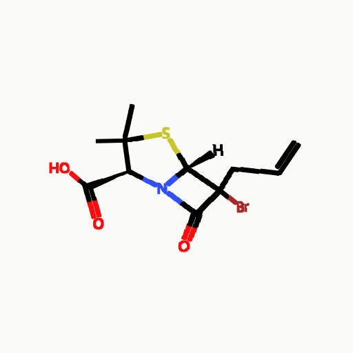 C=CCC1(Br)C(=O)N2[C@@H](C(=O)O)C(C)(C)S[C@@H]21